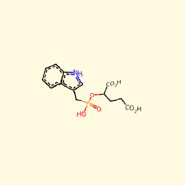 O=C(O)CCC(OP(=O)(O)Cc1c[nH]c2ccccc12)C(=O)O